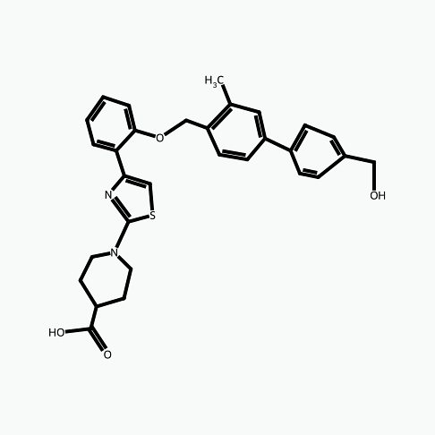 Cc1cc(-c2ccc(CO)cc2)ccc1COc1ccccc1-c1csc(N2CCC(C(=O)O)CC2)n1